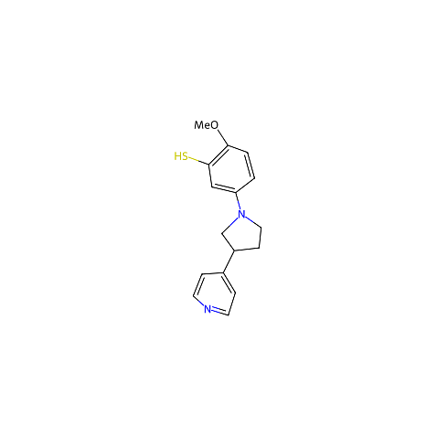 COc1ccc(N2CCC(c3ccncc3)C2)cc1S